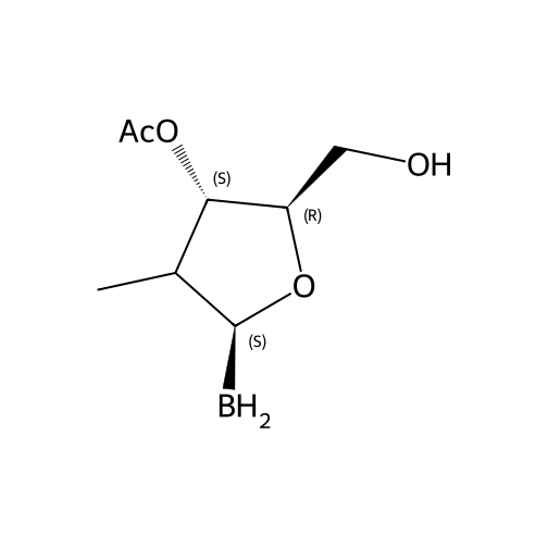 B[C@@H]1O[C@H](CO)[C@@H](OC(C)=O)C1C